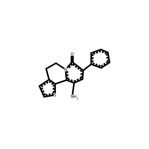 Nc1cc(-c2ccccc2)c(=O)n2c1-c1sccc1CC2